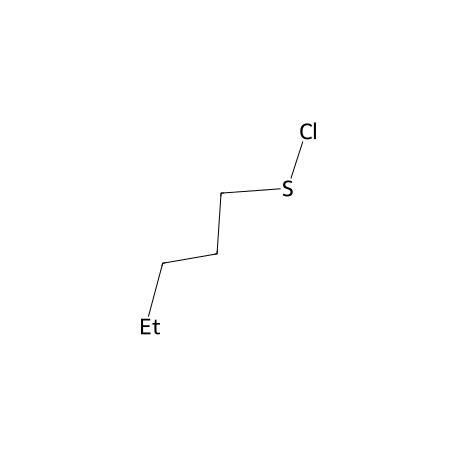 CCCCCSCl